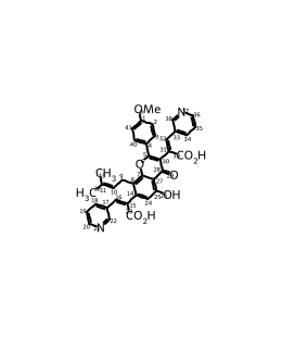 COc1ccc(-c2oc3c(CC=C(C)C)c(C(=Cc4cccnc4)C(=O)O)cc(O)c3c(=O)c2C(=Cc2cccnc2)C(=O)O)cc1